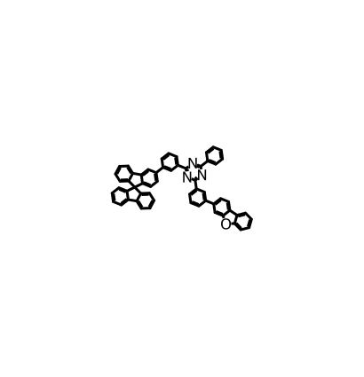 c1ccc(-c2nc(-c3cccc(-c4ccc5c(c4)-c4ccccc4C54c5ccccc5-c5ccccc54)c3)nc(-c3cccc(-c4ccc5c(c4)oc4ccccc45)c3)n2)cc1